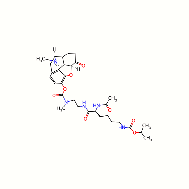 CC(=O)N[C@@H](CCCCNC(=O)OC(C)C)C(=O)NCCN(C)C(=O)Oc1ccc2c3c1O[C@@H]1C(=O)CCC4[C@H](C2)N(C)CC[C@]341